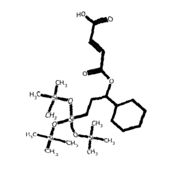 C[Si](C)(C)O[Si](CCC(OC(=O)/C=C/C(=O)O)C1CCCCC1)(O[Si](C)(C)C)O[Si](C)(C)C